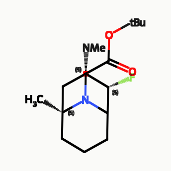 CN[C@H]1C[C@]2(C)CCCC([C@H]1F)N2CC(=O)OC(C)(C)C